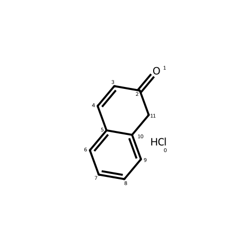 Cl.O=C1C=Cc2ccccc2C1